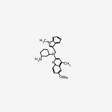 COc1ccc2nc(N(Cc3cn(C)c4ccccc34)C3CCCC(N)C3)cc(C)c2c1